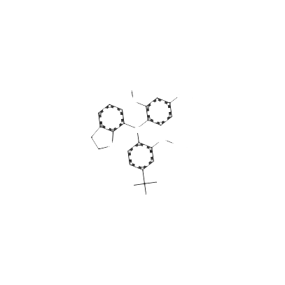 COc1cc(C)ccc1P(c1ccc(C(F)(F)F)cc1OC)c1cccc2c1OCC2